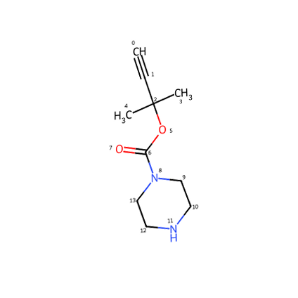 C#CC(C)(C)OC(=O)N1CCNCC1